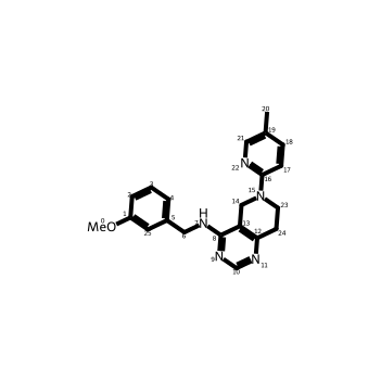 COc1cccc(CNc2ncnc3c2CN(c2ccc(C)cn2)CC3)c1